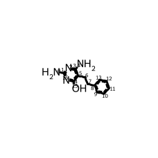 Nc1nc(N)c(CCc2ccccc2)c(O)n1